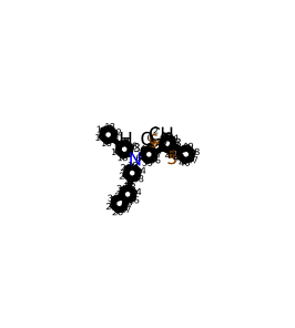 CS1(C)c2cc(N(c3ccc(-c4ccccc4)cc3)c3ccc(-c4ccc5ccccc5c4)cc3)ccc2-c2c1ccc1c2sc2ccccc21